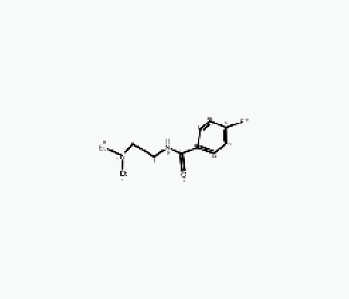 CCN(CC)CCNC(=O)c1ccc(F)cc1